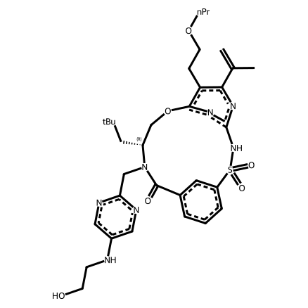 C=C(C)c1nc2nc(c1CCOCCC)OC[C@@H](CC(C)(C)C)N(Cc1ncc(NCCO)cn1)C(=O)c1cccc(c1)S(=O)(=O)N2